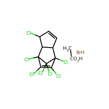 Br.CC(=O)O.ClC1=C(Cl)C2(Cl)C3C(Cl)C=CC3C1(Cl)C2(Cl)Cl